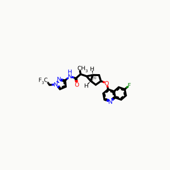 CC(C(=O)Nc1ccn(CC(F)(F)F)n1)C1[C@H]2CC(Oc3ccnc4ccc(F)cc34)C[C@@H]12